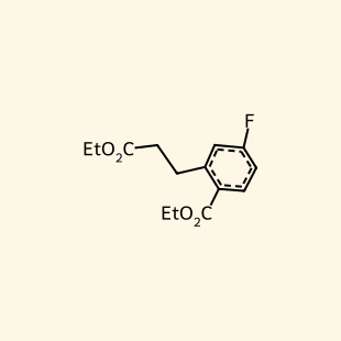 CCOC(=O)CCc1cc(F)ccc1C(=O)OCC